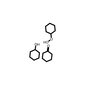 O=C1CCCCC1.OC1CCCCC1.OOC1CCCCC1